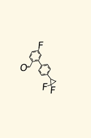 O=Cc1ccc(F)cc1-c1ccc(C2CC2(F)F)cc1